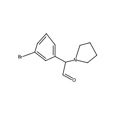 O=CC(c1cccc(Br)c1)N1CCCC1